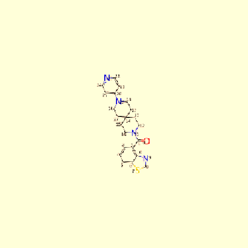 O=C(c1cccc2s[c]nc12)N1CCC2(CC1)CCN(c1ccncc1)CC2